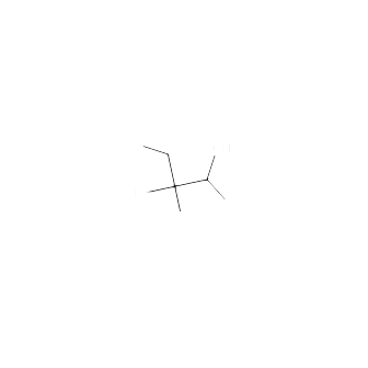 CCCC(C)C(C)(O)CO